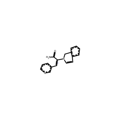 NC(=O)/C(=C\c1cccnc1)N1C=Cc2ccccc2C1